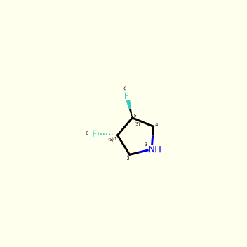 F[C@H]1CNC[C@@H]1F